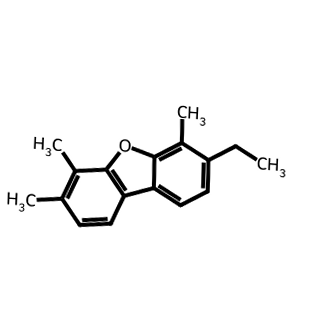 CCc1ccc2c(oc3c(C)c(C)ccc32)c1C